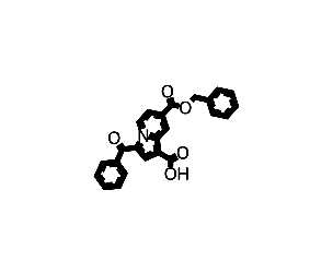 O=C(OCc1ccccc1)c1ccn2c(C(=O)c3ccccc3)cc(C(=O)O)c2c1